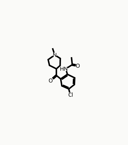 CC(=O)Nc1ccc(Cl)cc1C(=O)C1CCN(C)CC1